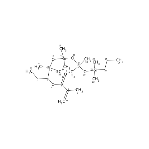 C=C(C)C(=O)OC(CC)[Si](C)(C)O[Si](C)(C)O[Si](C)(C)O[Si](C)(C)CCC